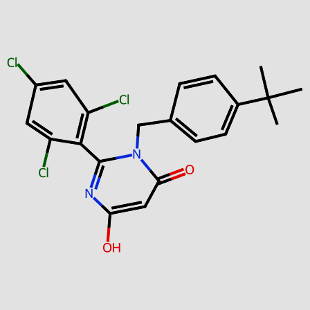 CC(C)(C)c1ccc(Cn2c(-c3c(Cl)cc(Cl)cc3Cl)nc(O)cc2=O)cc1